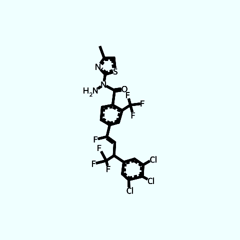 Cc1csc(N(N)C(=O)c2ccc(/C(F)=C/C(c3cc(Cl)c(Cl)c(Cl)c3)C(F)(F)F)cc2C(F)(F)F)n1